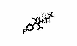 CC(C)c1c(NC(=O)CC(C)(C)C)nn(C)c1-c1ccc(F)cc1